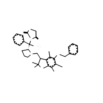 COC(c1ccccc1)([C@@H]1CCCN1CC1c2c(C)c(OCc3ccccc3)c(C)c(C)c2OC1(C)C)N1C(=O)CSC1=O